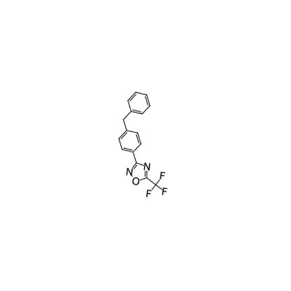 FC(F)(F)c1nc(-c2ccc(Cc3ccccc3)cc2)no1